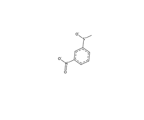 C[S+]([O-])c1cccc([N+](=O)[O-])c1